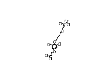 FC(F)(Cl)/C(Cl)=C/COCCCCOc1c(Cl)cc(OCC=C(Cl)Cl)cc1Cl